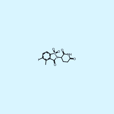 Cc1c(I)ccc2c1C(=O)N(C1CCC(=O)NC1=O)S2(=O)=O